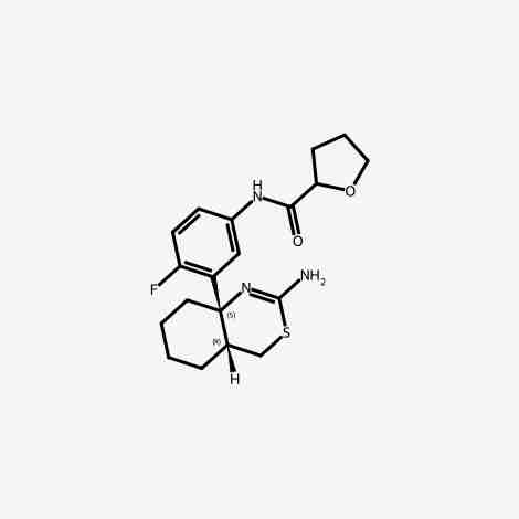 NC1=N[C@@]2(c3cc(NC(=O)C4CCCO4)ccc3F)CCCC[C@H]2CS1